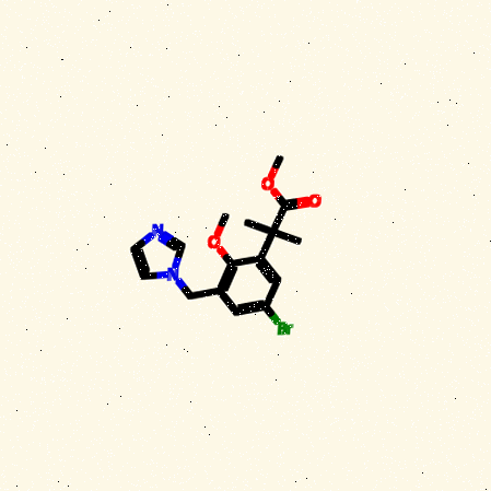 COC(=O)C(C)(C)c1cc(Br)cc(Cn2ccnc2)c1OC